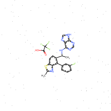 Cc1nc2c(-c3cccc(F)c3)c(C(C)Nc3ncnc4[nH]cnc34)ccc2s1.O=C(O)C(F)(F)F